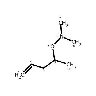 C=CCC(C)ON(C)C